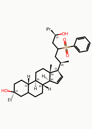 CC[C@]1(O)CC[C@H]2C(CC[C@@H]3[C@@H]2CC[C@]2(C)[C@@H]([C@H](C)CC(C[C@H](O)C(C)C)S(=O)(=O)c4ccccc4)C=C[C@@H]32)C1